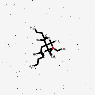 CCCCOC(C)(OCC)C(CC(=O)O)(C(=O)O)C(C)(OCC)OCCCC